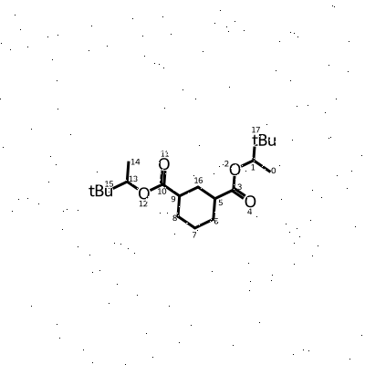 CC(OC(=O)C1CCCC(C(=O)OC(C)C(C)(C)C)C1)C(C)(C)C